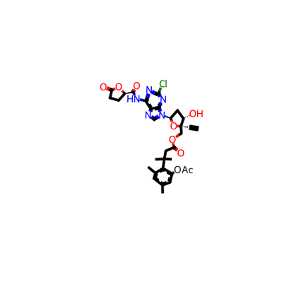 C#C[C@]1(COC(=O)CC(C)(C)c2c(C)cc(C)cc2OC(C)=O)O[C@@H](n2cnc3c(NC(=O)[C@H]4CCC(=O)O4)nc(Cl)nc32)C[C@@H]1O